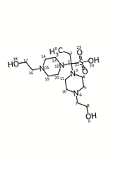 CCC(N1CCN(CCO)CC1)(N1CCN(CCO)CC1)S(=O)(=O)O